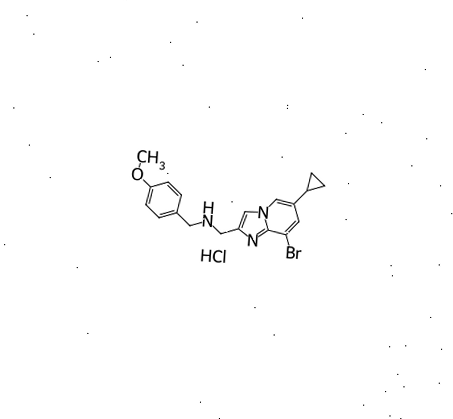 COc1ccc(CNCc2cn3cc(C4CC4)cc(Br)c3n2)cc1.Cl